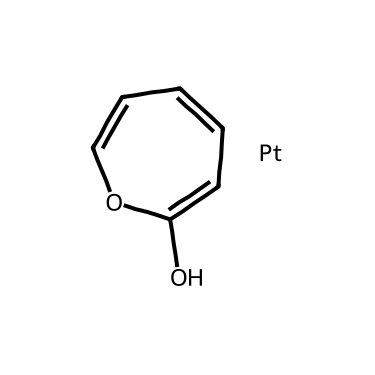 OC1=CC=CC=CO1.[Pt]